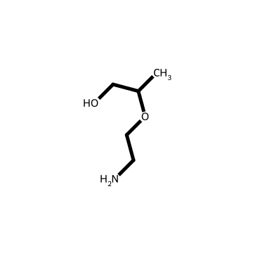 CC(CO)OCCN